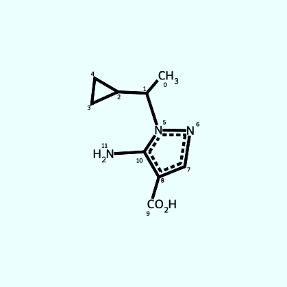 CC(C1CC1)n1ncc(C(=O)O)c1N